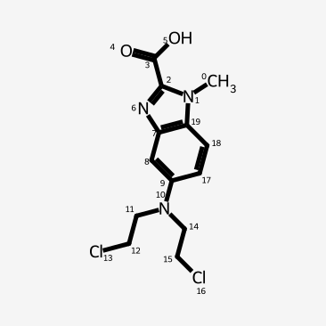 Cn1c(C(=O)O)nc2cc(N(CCCl)CCCl)ccc21